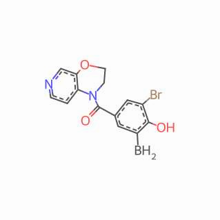 Bc1cc(C(=O)N2CCOc3cnccc32)cc(Br)c1O